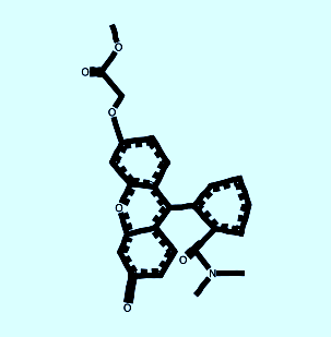 COC(=O)COc1ccc2c(-c3ccccc3C(=O)N(C)C)c3ccc(=O)cc-3oc2c1